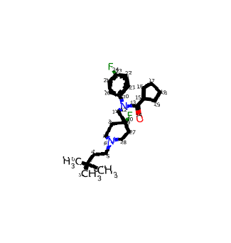 CC(C)(C)CCN1CCC(F)(CN(C(=O)C2CCCC2)c2ccc(F)cc2)CC1